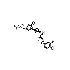 O=C(COc1ccc(Cl)c(F)c1)NC12CC(N3C[C@@H](COC(F)(F)F)CC3=O)(C1)C2